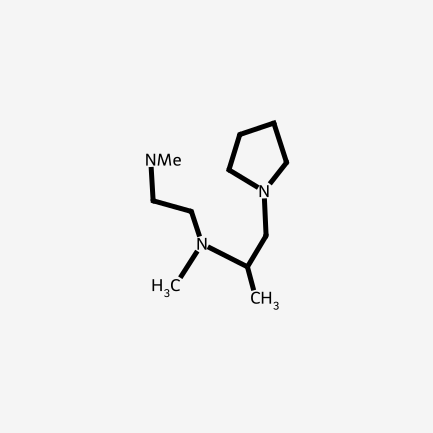 CNCCN(C)C(C)CN1CCCC1